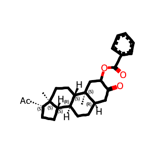 CC(=O)[C@H]1CC[C@H]2[C@@H]3CC[C@@H]4CC(=O)C(OC(=O)c5ccccc5)C[C@]4(C)[C@H]3CC[C@]12C